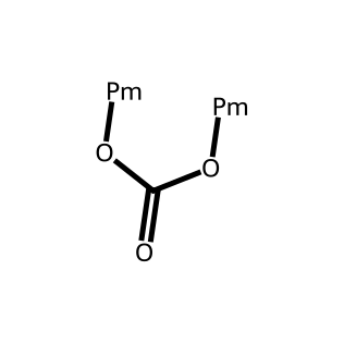 O=C([O][Pm])[O][Pm]